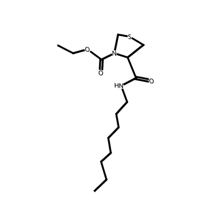 CCCCCCCCNC(=O)C1CSCN1C(=O)OCC